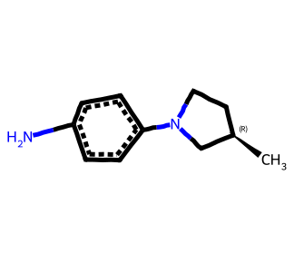 C[C@@H]1CCN(c2ccc(N)cc2)C1